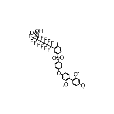 COc1ccc(-c2ccc(Oc3ccc(S(=O)(=O)c4ccc(C)c(C(F)(F)C(F)(F)C(F)(F)C(F)(F)C(F)(F)C(F)(F)S(=O)(=O)O)c4)cc3)cc2OC)c(OC)c1